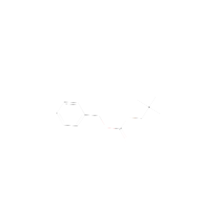 CC(C)(C)CSC(=O)OCc1ccccc1